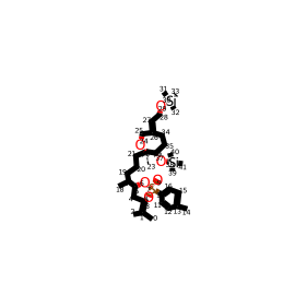 CC(C)=CCC(OS(=O)(=O)c1ccc(C)cc1)C(C)CCC[C@@]1(C)OCC(=CCO[Si](C)(C)C)CC[C@H]1O[Si](C)(C)C